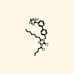 CCCCCCCc1nn(C(=O)CCCC)c(=O)n1Cc1ccc(-c2cccc(-c3nnn[nH]3)c2)cc1